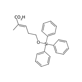 CC(=CCCO[Si](c1ccccc1)(c1ccccc1)c1ccccc1)C(=O)O